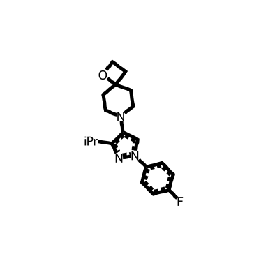 CC(C)c1nn(-c2ccc(F)cc2)cc1N1CCC2(CCO2)CC1